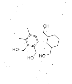 Cc1ccc(CO)c(CO)c1C.OCC1CCCC(CO)C1